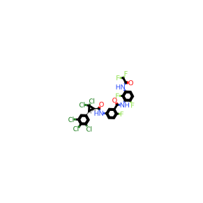 O=C(Nc1c(F)ccc(NC(=O)C(F)F)c1F)c1cc(NC(=O)[C@H]2[C@H](c3cc(Cl)c(Cl)c(Cl)c3)C2(Cl)Cl)ccc1F